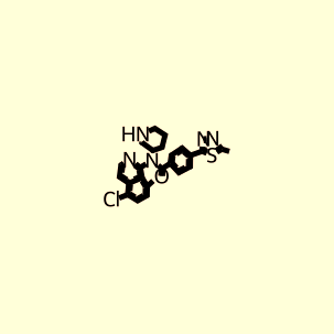 Cc1nnc(-c2ccc(C(=O)N(c3nccc4c(Cl)ccc(C)c34)[C@@H]3CCCNC3)cc2)s1